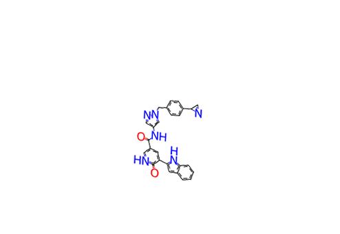 O=C(Nc1cnn(Cc2ccc(C3C=N3)cc2)c1)c1c[nH]c(=O)c(-c2cc3ccccc3[nH]2)c1